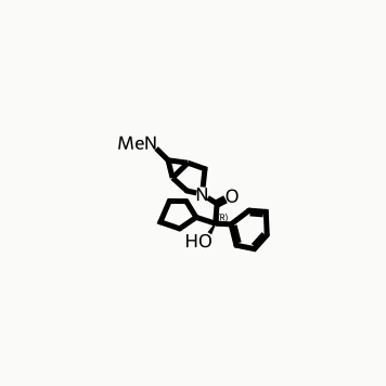 CNC1C2CN(C(=O)[C@](O)(c3ccccc3)C3CCCC3)CC21